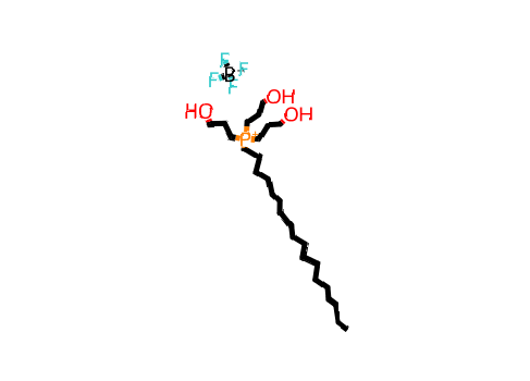 CCCCCCCCCCCCCCCCCC[P+](CCCO)(CCCO)CCCO.F[B-](F)(F)F